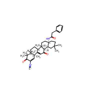 [C-]#[N+]C1=C[C@]2(C)C3=CC(=O)[C@@H]4[C@@H]5CC(C)(C)CC[C@]5(NC(=O)Cc5ccccc5)CC[C@@]4(C)[C@]3(C)CC[C@H]2C(C)(C)C1=O